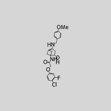 COc1ccc(CNC2=C3CC(NC(=O)COc4ccc(Cl)c(F)c4)(C3)C(O)C2)cc1